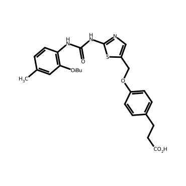 Cc1ccc(NC(=O)Nc2ncc(COc3ccc(CCC(=O)O)cc3)s2)c(OCC(C)C)c1